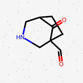 O=CC12CCC(CNC1)C2=O